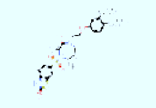 CCCC1CCN(CCOc2ccc(OC)c(OC)c2)C(=O)C(C)N1S(=O)(=O)c1ccc2[nH]c(=O)sc2c1